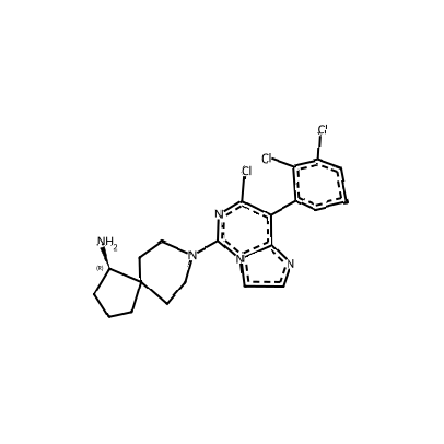 N[C@@H]1CCCC12CCN(c1nc(Cl)c(-c3cccc(Cl)c3Cl)c3nccn13)CC2